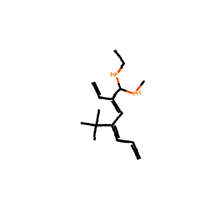 C=C/C=C(\C=C(/C=C)C(PC)PCC)C(C)(C)C